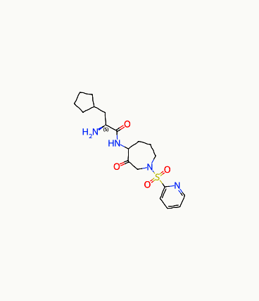 N[C@@H](CC1CCCC1)C(=O)NC1CCCN(S(=O)(=O)c2ccccn2)CC1=O